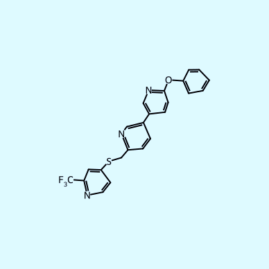 FC(F)(F)c1cc(SCc2ccc(-c3ccc(Oc4ccccc4)nc3)cn2)ccn1